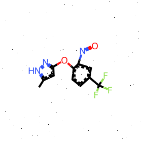 Cc1cc(Oc2ccc(C(F)(F)F)cc2N=O)n[nH]1